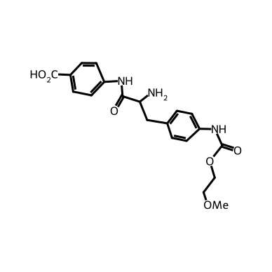 COCCOC(=O)Nc1ccc(CC(N)C(=O)Nc2ccc(C(=O)O)cc2)cc1